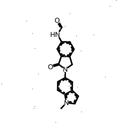 Cn1ccc2cc(N3Cc4ccc(NC=O)cc4C3=O)ccc21